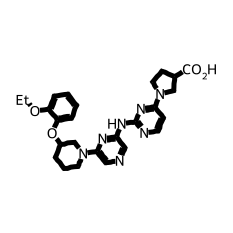 CCOc1ccccc1OC1CCCN(c2cncc(Nc3nccc(N4CCC(C(=O)O)C4)n3)n2)C1